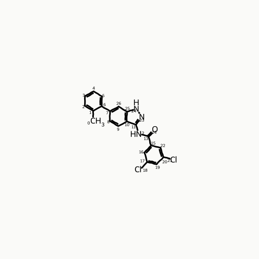 Cc1ccccc1-c1ccc2c(NC(=O)c3cc(Cl)cc(Cl)c3)n[nH]c2c1